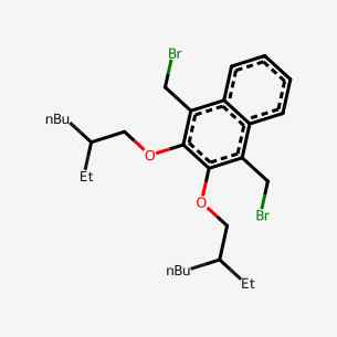 CCCCC(CC)COc1c(OCC(CC)CCCC)c(CBr)c2ccccc2c1CBr